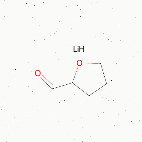 O=CC1CCCO1.[LiH]